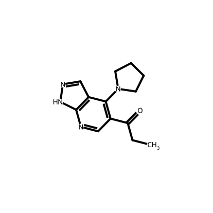 CCC(=O)c1cnc2[nH]ncc2c1N1CCCC1